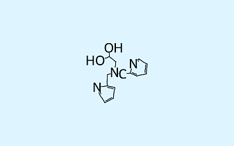 OC(O)CN(Cc1ccccn1)Cc1ccccn1